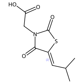 CC(C)/C=C1\SC(=O)N(CC(=O)O)C1=O